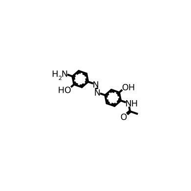 CC(=O)Nc1ccc(N=Nc2ccc(N)c(O)c2)cc1O